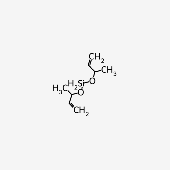 C=CC(C)O[SiH2]OC(C)C=C